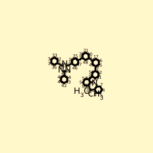 CC1(C)c2ccccc2-n2c3ccc(-c4cccc(-c5cccc(-c6ccc(-c7nc(-c8ccccc8)nc(-c8ccccc8)n7)cc6)c5)c4)cc3c3cccc1c32